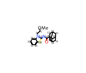 COCCn1/c(=N/C(=O)C23CC4CC(CC(C4)C2)C3)sc2ccccc21